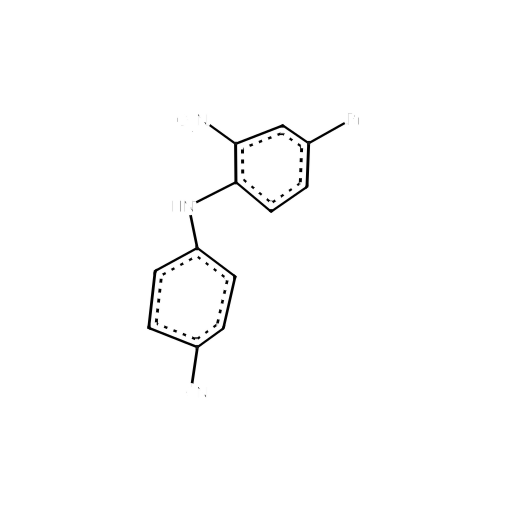 N#Cc1ccc(Nc2ccc(Br)cc2[N+](=O)[O-])cc1